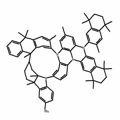 Cc1cc2c3c(c1)N(c1cc4c(cc1C)C(C)(C)CCC4(C)C)c1cc4c(cc1B3c1ccc3cc1N2c1cc2c(cc1C)C(C)(C)c1ccccc1C2(C)C1CCC2(C)c5cc(C(C)(C)C)ccc5N3C2(C)C1)C(C)(C)CCC4(C)C